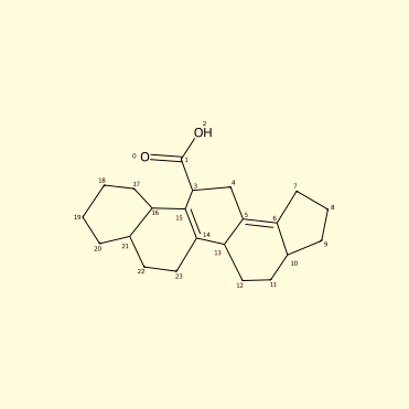 O=C(O)C1CC2=C3CCCC3CCC2C2=C1C1CCCCC1CC2